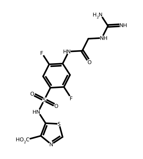 N=C(N)NCC(=O)Nc1cc(F)c(S(=O)(=O)Nc2scnc2C(=O)O)cc1F